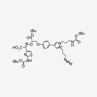 CC(C)(C)OC(=O)NCCCn1cc(-c2ccc(OCC(ON=C(C(=O)O)c3csc(NC(=O)OC(C)(C)C)n3)C(=O)OC(C)(C)C)cc2)c[n+]1CCCN=[N+]=[N-]